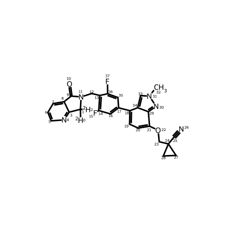 [2H]C1([2H])c2ncccc2C(=O)N1Cc1c(F)cc(-c2ccc(OCC3(C#N)CC3)c3nn(C)cc23)cc1F